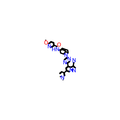 C=C/C(=C\N(C)C)c1cc(-c2cnc(N3C4CC5CC3CC(NC(=O)c3ccc(OC)nc3)(C5)C4)cn2)c2c(C#N)cnn2c1